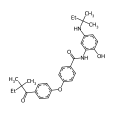 CCC(C)(C)Nc1ccc(O)c(NC(=O)c2ccc(Oc3ccc(C(=O)C(C)(C)CC)cc3)cc2)c1